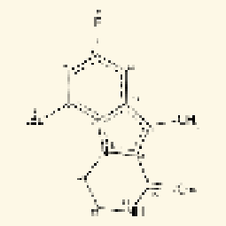 Cc1c2n(c3c(C(C)(C)C)cc(F)cc13)CCNC2=O